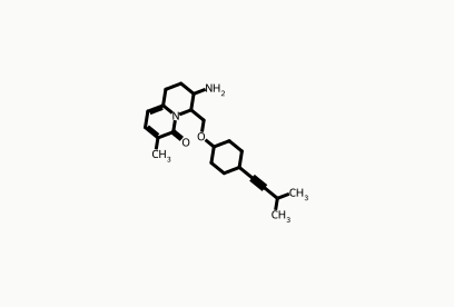 Cc1ccc2n(c1=O)C(COC1CCC(C#CC(C)C)CC1)C(N)CC2